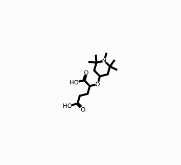 CN1C(C)(C)CC(OC(CCC(=O)O)C(=O)O)CC1(C)C